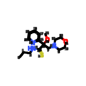 CCCNC(=S)C(CN1CCOCC1)(OC)c1ccccn1